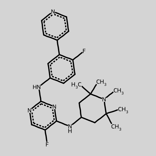 CN1C(C)(C)CC(Nc2nc(Nc3ccc(F)c(-c4ccncc4)c3)ncc2F)CC1(C)C